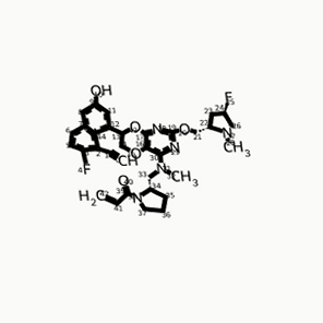 C#Cc1c(F)ccc2cc(O)cc(C3COc4c(nc(OC[C@@H]5C[C@@H](F)CN5C)nc4N(C)C[C@@H]4CCCN4C(=O)C=C)O3)c12